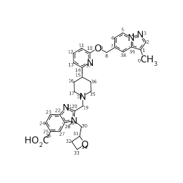 Cc1cnn2ccc(COc3cccc(C4CCN(Cc5nc6ccc(C(=O)O)cc6n5CC5CCO5)CC4)n3)cc12